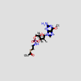 CCOc1nc(N)nc2c1ncn2[C@@H]1O[C@@H]2CO[P@](=O)(NCCSC(=O)C(C)(C)C)O[C@H]2[C@@H]1C